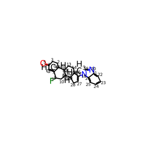 C[C@]12CCC(=O)C=C1C(F)C[C@@H]1[C@@H]2CC[C@]2(C)C(n3cnc4ccccc43)=CC[C@@H]12